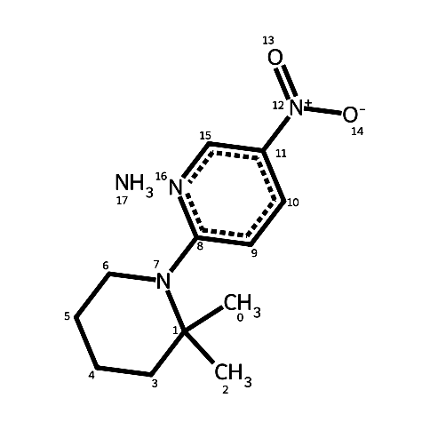 CC1(C)CCCCN1c1ccc([N+](=O)[O-])cn1.N